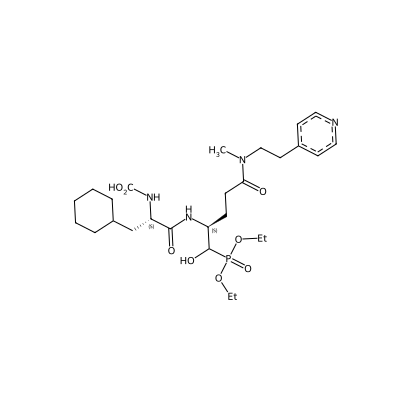 CCOP(=O)(OCC)C(O)[C@H](CCC(=O)N(C)CCc1ccncc1)NC(=O)[C@H](CC1CCCCC1)NC(=O)O